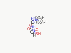 CC(C)(C)N(C(=O)O)C(NC(=O)O)(N1CC[C@H](ONC(=O)[C@@H]2CC[C@@H]3CN2C(=O)N3O)C1)C(C)(C)C